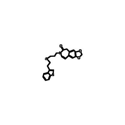 CN(CCCN1C=Cc2cc3c(cc2CC1=O)OCO3)CCc1csc2ccccc12